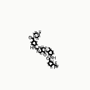 Cc1ccc(NC(=O)c2cccc(C(F)(F)F)c2)cc1N1CCc2nc(Nc3ccc(C(=O)N4CCN(C)CC4)cc3)ncc2C1=O